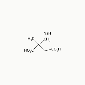 CC(C)(CC(=O)O)C(=O)O.[NaH]